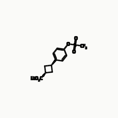 CCOC(=O)[C@H]1C[C@@H](c2ccc(OS(=O)(=O)C(F)(F)F)cc2)C1